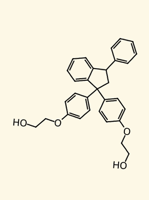 OCCOc1ccc(C2(c3ccc(OCCO)cc3)CC(c3ccccc3)c3ccccc32)cc1